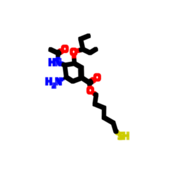 CCC(CC)OC1C=C(C(=O)OCCCCCCS)C[C@H](N)C1NC(C)=O